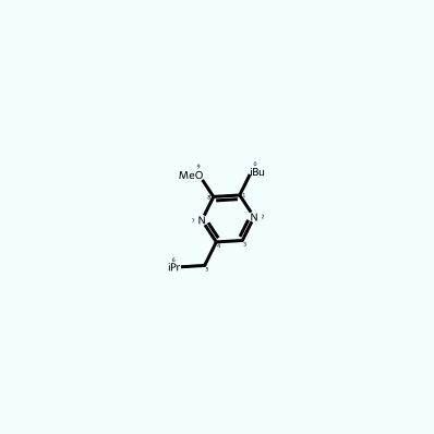 CCC(C)c1ncc(CC(C)C)nc1OC